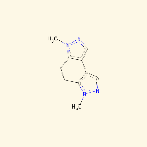 Cn1ncc2c1CCc1c-2cnn1C